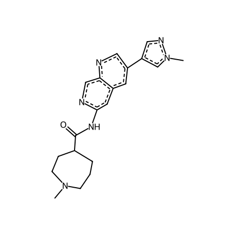 CN1CCCC(C(=O)Nc2cc3cc(-c4cnn(C)c4)cnc3cn2)CC1